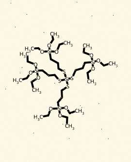 CCO[Si](CCCS[Si](SCCC[Si](OCC)(OCC)OCC)(SCCC[Si](OCC)(OCC)OCC)SCCC[Si](OCC)(OCC)OCC)(OCC)OCC